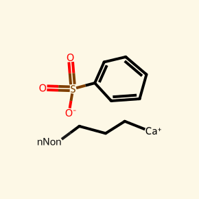 CCCCCCCCCCC[CH2][Ca+].O=S(=O)([O-])c1ccccc1